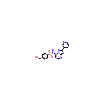 O=S(=O)(Nc1ccnc2cc(-c3cccnc3)nn12)c1ccc(CO)cc1